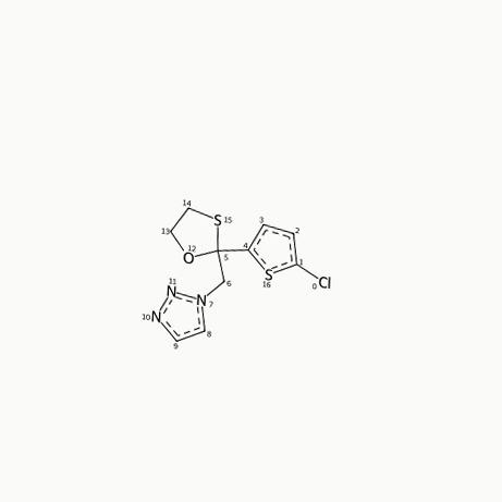 Clc1ccc(C2(Cn3ccnn3)OCCS2)s1